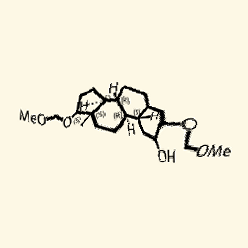 COCOC1CC2CC[C@@H]3[C@H](CC[C@]4(C)[C@@H](OCOC)CC[C@@H]34)[C@H]2CC1O